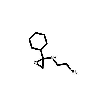 NCCNC1(C2CCCCC2)CO1